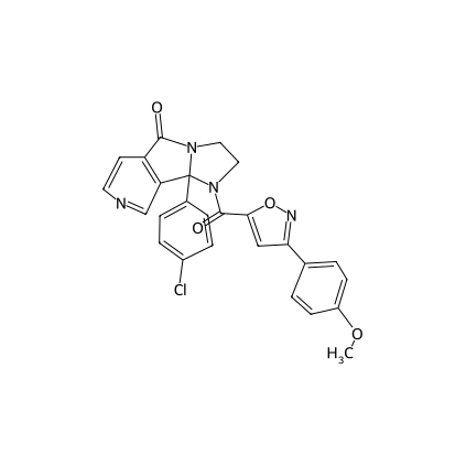 COc1ccc(-c2cc(C(=O)N3CCN4C(=O)c5ccncc5C34c3ccc(Cl)cc3)on2)cc1